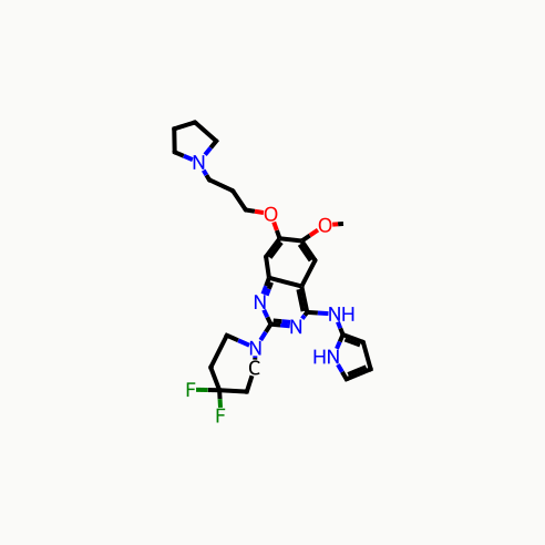 COc1cc2c(Nc3ccc[nH]3)nc(N3CCC(F)(F)CC3)nc2cc1OCCCN1CCCC1